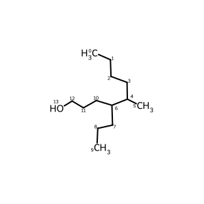 CCCCC(C)C(CCC)CCCO